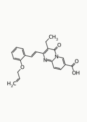 C=CCOc1ccccc1C=Cc1nc2ccc(C(=O)O)cn2c(=O)c1CC